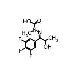 CC(O)/C(=N/N(C)C(=O)O)c1cc(F)c(F)c(F)c1